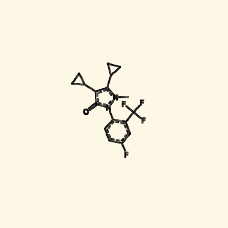 Cn1c(C2CC2)c(C2CC2)c(=O)n1-c1ccc(F)cc1C(F)(F)F